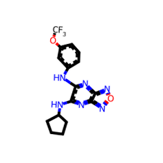 FC(F)(F)Oc1cccc(Nc2nc3nonc3nc2NC2CCCC2)c1